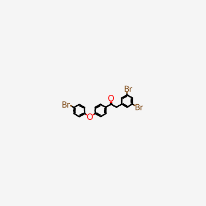 O=C(Cc1cc(Br)cc(Br)c1)c1ccc(Oc2ccc(Br)cc2)cc1